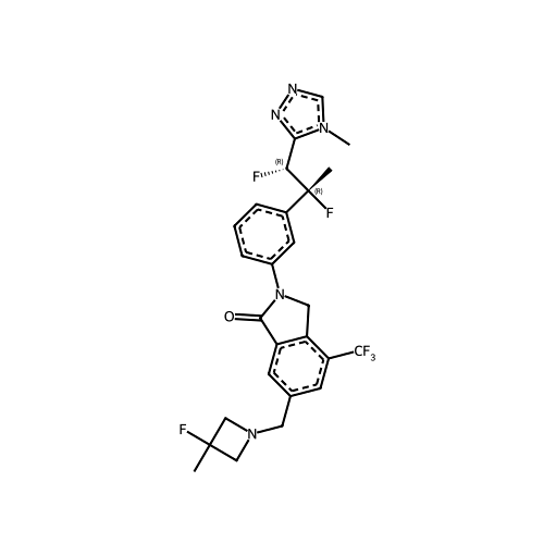 Cn1cnnc1[C@@H](F)[C@](C)(F)c1cccc(N2Cc3c(cc(CN4CC(C)(F)C4)cc3C(F)(F)F)C2=O)c1